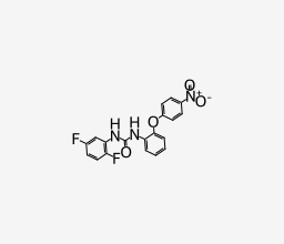 O=C(Nc1cc(F)ccc1F)Nc1ccccc1Oc1ccc([N+](=O)[O-])cc1